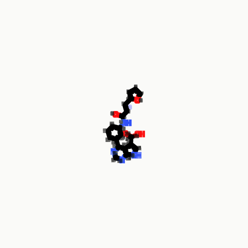 O=C(/C=C/c1ccco1)Nc1cccc(-c2ncnc3[nH]cc(C(=O)O)c23)c1